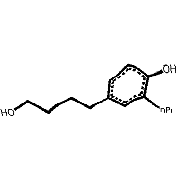 CCCc1cc(CCCCO)ccc1O